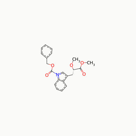 COC(=O)[C@H](Cc1cn(C(=O)OCc2ccccc2)c2ccccc12)OC